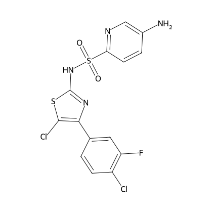 Nc1ccc(S(=O)(=O)Nc2nc(-c3ccc(Cl)c(F)c3)c(Cl)s2)nc1